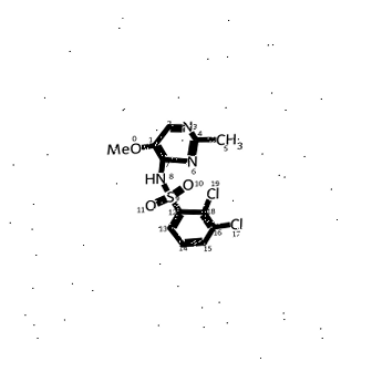 COc1cnc(C)nc1NS(=O)(=O)c1cccc(Cl)c1Cl